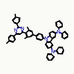 Cc1ccc(-c2cc(-c3c(C)cc(-c4ccc(-n5c6ccc(N(c7ccccc7)c7ccccc7)cc6c6cc(N(c7ccccc7)c7ccccc7)ccc65)cc4)cc3C)nc(-c3ccc(C)cc3)n2)cc1